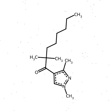 CCCCCCC(C)(C)C(=O)c1cn(C)nc1C